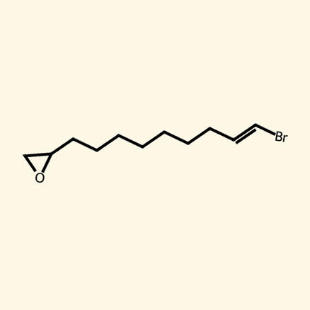 BrC=CCCCCCCCC1CO1